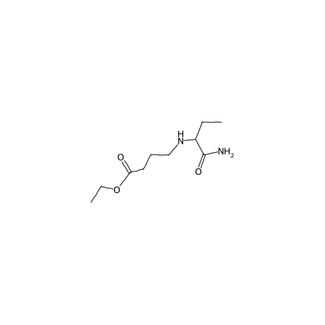 CCOC(=O)CCCNC(CC)C(N)=O